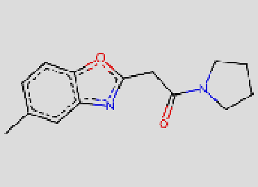 Cc1ccc2oc(CC(=O)N3CCCC3)nc2c1